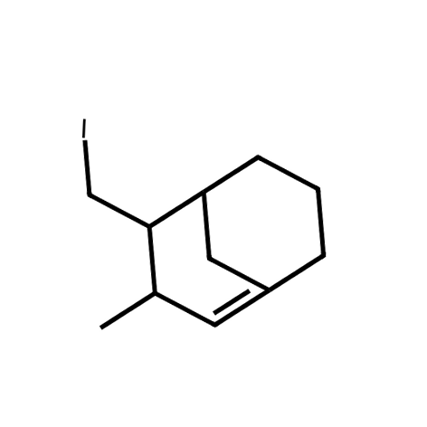 CC1C=C2CCCC(C2)C1CI